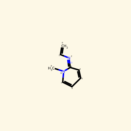 C=C/N=c1/ccccn1C